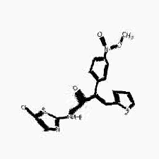 CO[N+](=O)c1ccc(/C(=C\c2cccs2)C(=O)Nc2ncc(Cl)s2)cc1